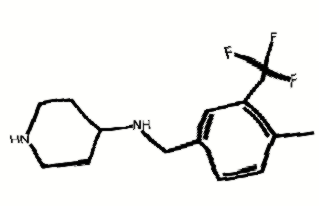 Cc1ccc(CNC2CCNCC2)cc1C(F)(F)F